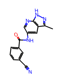 Cc1n[nH]c2ncc(NC(=O)c3cccc(C#N)c3)cc12